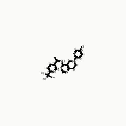 CC(Nc1ncnc2c1CN(c1ccc(Cl)cn1)CC2)c1ccc(C(F)(F)F)nc1